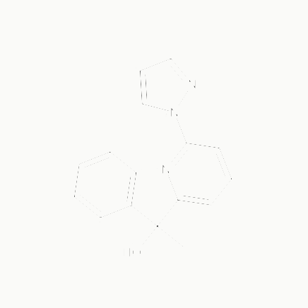 CC(O)(c1ccccc1)c1cccc(-n2cccn2)n1